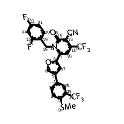 CSc1ccc(-c2coc(-c3cc(C(F)(F)F)c(C#N)c(=O)n3Cc3ccc(F)cc3F)c2)cc1C(F)(F)F